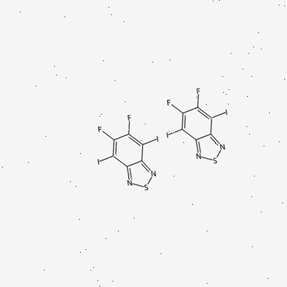 Fc1c(F)c(I)c2nsnc2c1I.Fc1c(F)c(I)c2nsnc2c1I